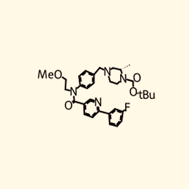 COCCN(C(=O)c1ccc(-c2cccc(F)c2)nc1)c1ccc(CN2CCN(C(=O)OC(C)(C)C)[C@@H](C)C2)cc1